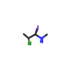 CN[C@H](I)C(C)Cl